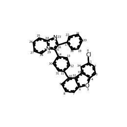 Clc1ccc2oc3cccc(-c4ccc(-c5c(-c6ccccc6)nc6ccccn56)cc4)c3c2c1